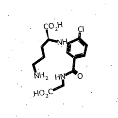 NCCC[C@H](N)C(=O)O.O=C(O)CNC(=O)c1ccc(Cl)cc1